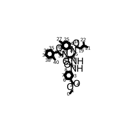 CCOC(=O)c1cccc(NC(=O)NC2CN(C(=O)C=C(C)C)c3ccc(C)cc3N(CC(=O)c3ccccc3C)C2=O)c1